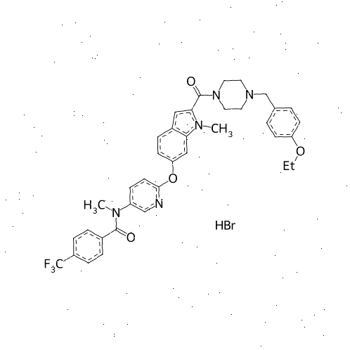 Br.CCOc1ccc(CN2CCN(C(=O)c3cc4ccc(Oc5ccc(N(C)C(=O)c6ccc(C(F)(F)F)cc6)cn5)cc4n3C)CC2)cc1